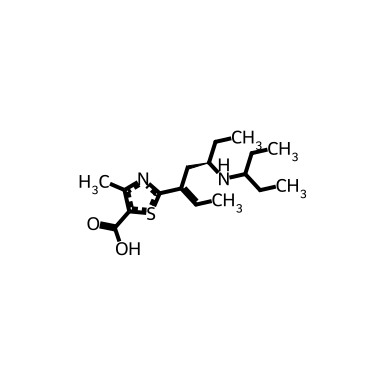 C/C=C(\C[C@@H](CC)NC(CC)CC)c1nc(C)c(C(=O)O)s1